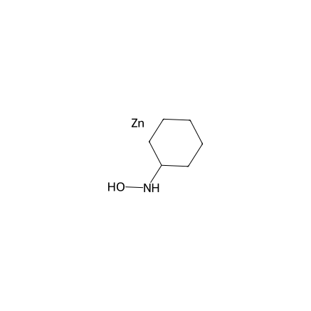 ONC1CCCCC1.[Zn]